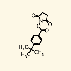 CC(C)(C)c1ccc(C(=O)ON2C(=O)CCC2=O)cc1